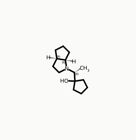 C[C@@H](N1CC[C@H]2CCC[C@H]21)C1(O)CCCC1